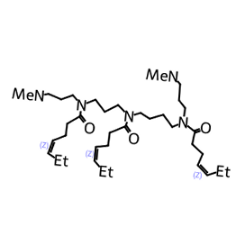 CC/C=C\CCC(=O)N(CCCCN(CCCN(CCCNC)C(=O)CC/C=C\CC)C(=O)CC/C=C\CC)CCCNC